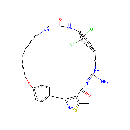 Cc1snc2c1C(=O)/N=C(\N)NCc1cc(Cl)c(c(Cl)c1)NC(=O)CNCCCCCCOc1ccc-2cc1